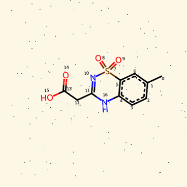 Cc1ccc2c(c1)S(=O)(=O)N=C(CC(=O)O)N2